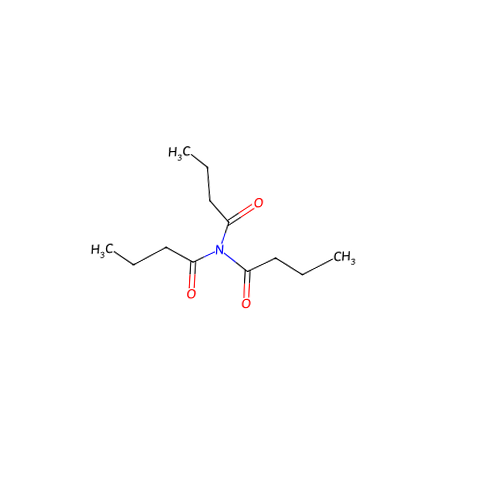 CCCC(=O)N(C(=O)CCC)C(=O)CCC